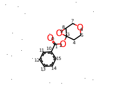 O=C(OC12CCOCC1O2)c1ccccc1